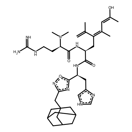 C=C(C)/C(C[C@H](NC(=O)[C@@H](CCNC(=N)N)N(C)C)C(=O)N[C@@H](Cc1c[nH]cn1)c1nc(CC23CC4CC(CC(C4)C2)C3)no1)=C(C)\C=C(/C)O